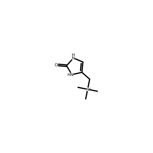 C[N+](C)(C)Cc1c[nH]c(=O)[nH]1